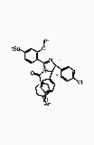 CC(=O)N1CCN(C(=O)N2C(c3ccc(C(C)(C)C)cc3OC(C)C)=N[C@@](C)(c3ccc(Cl)cc3)[C@@]2(C)c2ccc(Cl)cc2)CC1